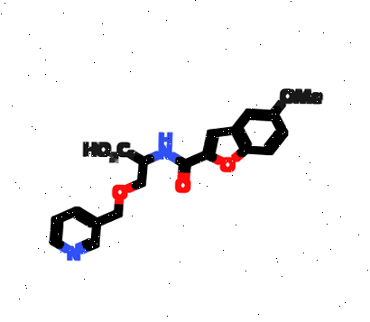 COc1ccc2oc(C(=O)NC(COCc3cccnc3)C(=O)O)cc2c1